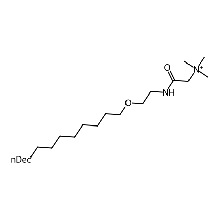 CCCCCCCCCCCCCCCCCCOCCNC(=O)C[N+](C)(C)C